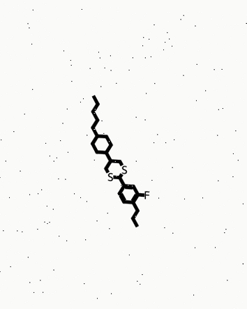 CCCCCC1CCC(C2CSC(c3ccc(CCC)c(F)c3)SC2)CC1